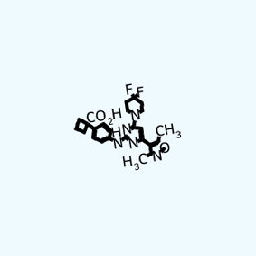 Cc1noc(C)c1-c1cc(N2CCC(F)(F)CC2)nc(Nc2ccc(C3(C(=O)O)CCC3)cc2)n1